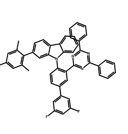 Cc1cc(C)c(-c2ccc3c4ccccc4n(-c4ccc(-c5cc(F)cc(F)c5)cc4-c4nc(-c5ccccc5)nc(-c5ccccc5)n4)c3c2)c(C)c1